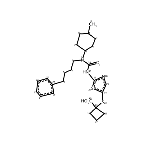 CC1CCC(N(CCCCc2ccccc2)C(=O)Nc2ncc(SC3(C(=O)O)CCC3)s2)CC1